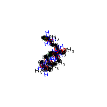 COc1cccc(CC(=O)N[C@@H](C)C(=O)NCC(=O)Nc2ccccc2)c1.C[C@H](NC(=O)Cc1cccc(C(F)(F)F)c1)C(=O)NCC(=O)Nc1ccccc1.C[C@H](NC(=O)Cc1ccccc1Cl)C(=O)NCC(=O)Nc1ccccc1.Cc1ccc(CC(=O)N[C@@H](C)C(=O)NCC(=O)Nc2ccccc2)cc1.Cc1cccc(CC(=O)N[C@@H](C)C(=O)NCC(=O)Nc2ccccc2)c1